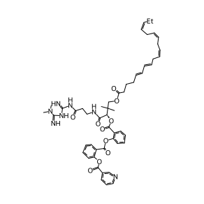 CC/C=C\C/C=C\C/C=C\C/C=C/C=C/CCCC(=O)OCC(C)(C)[C@@H](OC(=O)c1ccccc1OC(=O)c1ccccc1OC(=O)c1cccnc1)C(=O)NCCC(=O)NC(=N)NC(=N)N(C)C